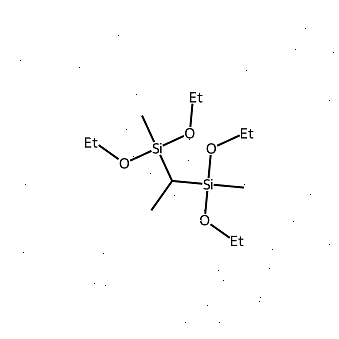 CCO[Si](C)(OCC)C(C)[Si](C)(OCC)OCC